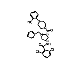 N#Cc1ccccc1N1CCN(C(=O)[C@@H]2C[C@H](NC(=O)c3c(Cl)cccc3Cl)CN2Cc2ccccc2)CC1